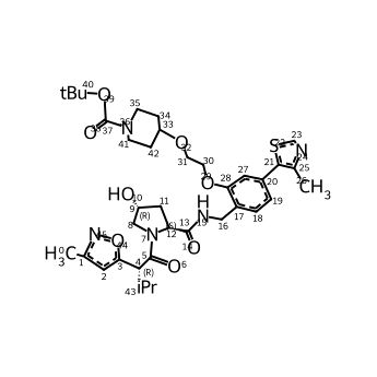 Cc1cc([C@H](C(=O)N2C[C@H](O)C[C@H]2C(=O)NCc2ccc(-c3scnc3C)cc2OCCOC2CCN(C(=O)OC(C)(C)C)CC2)C(C)C)on1